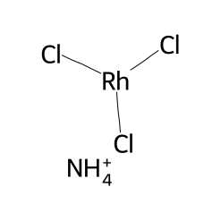 [Cl][Rh]([Cl])[Cl].[NH4+]